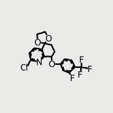 Fc1cc(OC2CCC3(OCCO3)c3ccc(Cl)nc32)ccc1C(F)(F)F